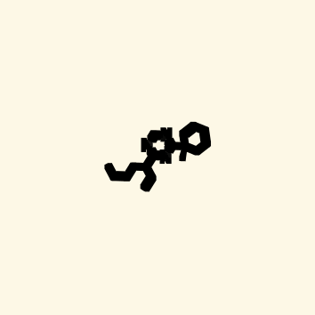 C=CC(C/C=C\C)c1ncnc([C@]2(C)C=CC=CC2)n1